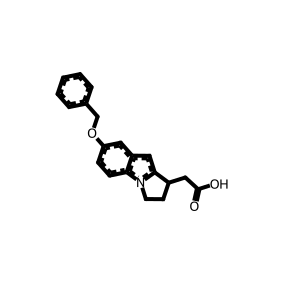 O=C(O)CC1CCn2c1cc1cc(OCc3ccccc3)ccc12